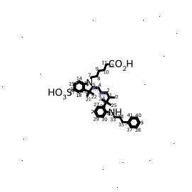 CC(/C=C/C=C1/N(CCCCCC(=O)O)c2ccc(S(=O)(=O)O)cc2C1(C)C)C(C)(C)c1ccccc1NCCCc1ccccc1